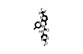 COc1ncc(NC(=O)NCc2ccc(C(F)(F)F)nc2N2CCC(C)CC2)cn1